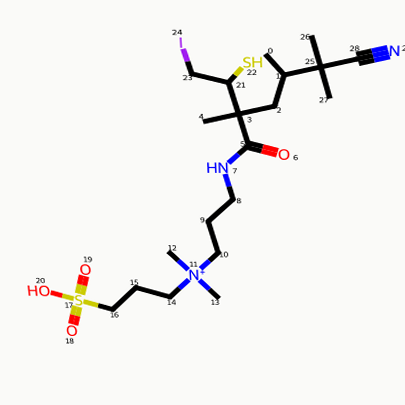 CC(CC(C)(C(=O)NCCC[N+](C)(C)CCCS(=O)(=O)O)C(S)CI)C(C)(C)C#N